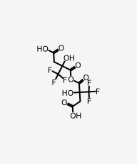 O=C(O)CC(O)(C(=O)OC(=O)C(O)(CC(=O)O)C(F)(F)F)C(F)(F)F